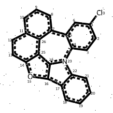 Clc1ccc2c(c1)c1cccc3ccc4oc5c6ccccc6n2c5c4c31